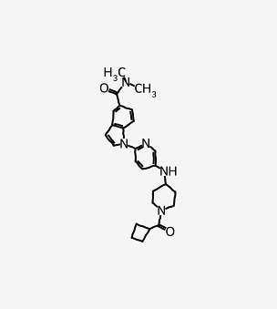 CN(C)C(=O)c1ccc2c(ccn2-c2ccc(NC3CCN(C(=O)C4CCC4)CC3)cn2)c1